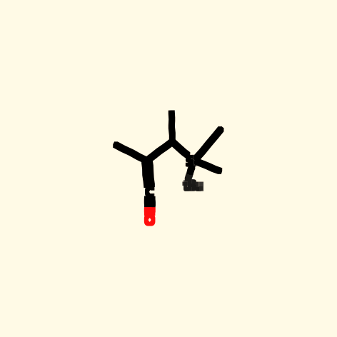 CC(=C=O)C(C)[Si](C)(C)C(C)(C)C